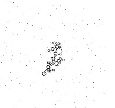 CC1(C)CC(c2ccc(Cl)cc2)=C2CN3CCN(c4ccc(C(=O)NS(=O)(=O)c5ccc(NCC6CCCCO6)c([NH+]([O-])O)c5)c(N5CCCOc6nc7[nH]ccc7cc65)c4)CC3COCCCO[C@@H]2C1